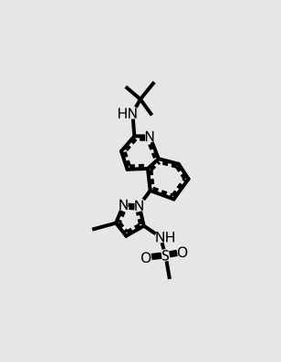 Cc1cc(NS(C)(=O)=O)n(-c2cccc3nc(NC(C)(C)C)ccc23)n1